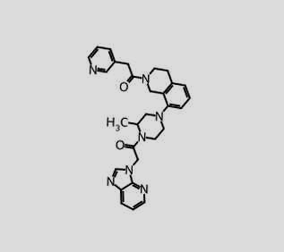 CC1CN(c2cccc3c2CN(C(=O)Cc2cccnc2)CC3)CCN1C(=O)Cn1cnc2cccnc21